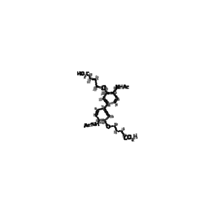 CC(=O)Nc1ccc(-c2ccc(NC(C)=O)c(OCCCC(=O)O)c2)cc1OCCCC(=O)O